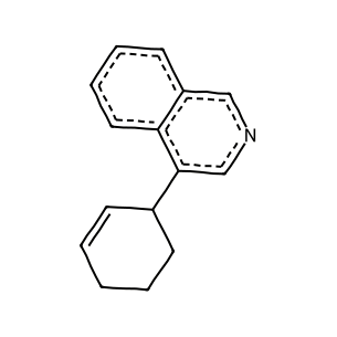 C1=CC(c2cncc3ccccc23)CCC1